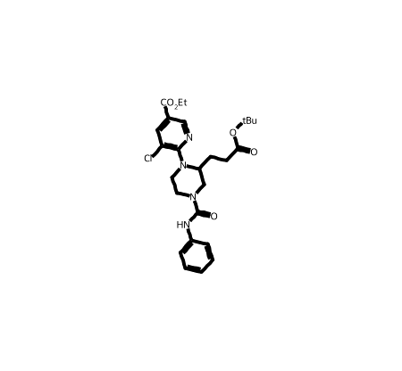 CCOC(=O)c1cnc(N2CCN(C(=O)Nc3ccccc3)CC2CCC(=O)OC(C)(C)C)c(Cl)c1